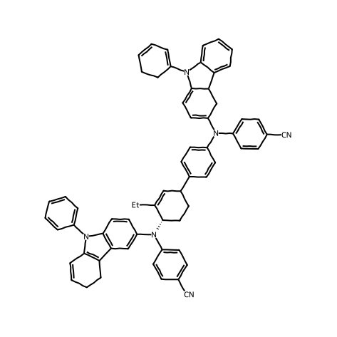 CCC1=CC(c2ccc(N(C3=CC=C4C(C3)c3ccccc3N4C3=CC=CCC3)c3ccc(C#N)cc3)cc2)CC[C@@H]1N(c1ccc(C#N)cc1)c1ccc2c(c1)c1c(n2-c2ccccc2)C=CCC1